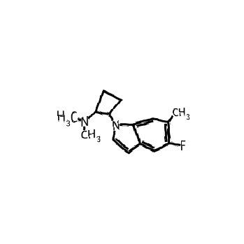 Cc1cc2c(ccn2C2CCC2N(C)C)cc1F